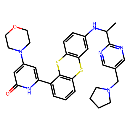 CC(Nc1ccc2c(c1)Sc1cccc(-c3cc(N4CCOCC4)cc(=O)[nH]3)c1S2)c1ncc(CN2CCCC2)cn1